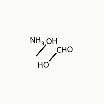 CO.N.O=CO